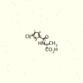 C[C@@H](NC(=O)c1ccc(Cl)s1)C(=O)O